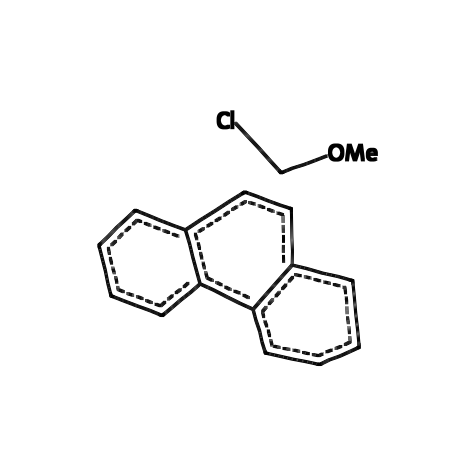 COCCl.c1ccc2c(c1)ccc1ccccc12